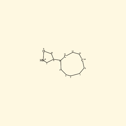 C1CCCCC(C2CNOC2)CCCC1